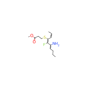 C\C=C/C(SCCC(=O)OC)=C(F)\C(N)=C\CCC